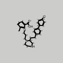 Cc1cccc(C(=O)O)c1OCCCN1CCNCC1CCc1ccc(-c2ccc(Cl)cc2)cc1